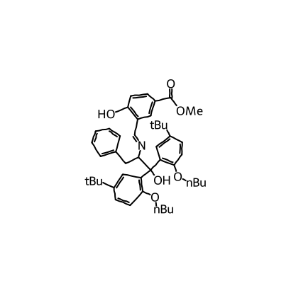 CCCCOc1ccc(C(C)(C)C)cc1C(O)(c1cc(C(C)(C)C)ccc1OCCCC)C(Cc1ccccc1)N=Cc1cc(C(=O)OC)ccc1O